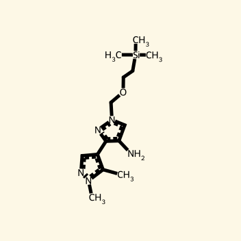 Cc1c(-c2nn(COCC[Si](C)(C)C)cc2N)cnn1C